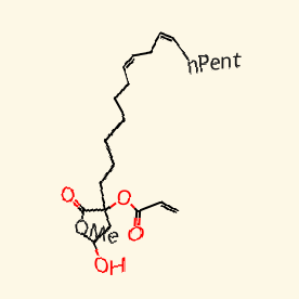 C=CC(=O)OC(CCCCCC/C=C\C/C=C\CCCCC)(CC(C)O)C(=O)OC